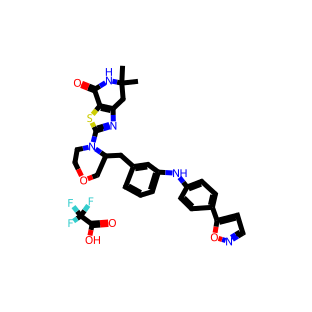 CC1(C)Cc2nc(N3CCOCC3Cc3cccc(Nc4ccc(-c5ccno5)cc4)c3)sc2C(=O)N1.O=C(O)C(F)(F)F